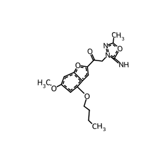 CCCCOc1cc(OC)cc2oc(C(=O)Cn3nc(C)oc3=N)cc12